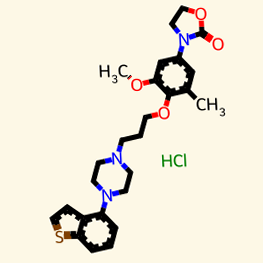 COc1cc(N2CCOC2=O)cc(C)c1OCCCN1CCN(c2cccc3sccc23)CC1.Cl